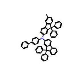 Cc1ccc2c(c1)-c1ccc(N(c3ccc(-c4ccccc4)cc3)c3ccc4c(c3)C(c3ccccc3)(c3ccccc3)c3ccccc3-4)cc1C2(c1ccccc1)c1ccccc1